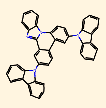 c1ccc2c(c1)nc1c3cc(-n4c5ccccc5c5ccccc54)ccc3c3cc(-n4c5ccccc5c5ccccc54)ccc3n21